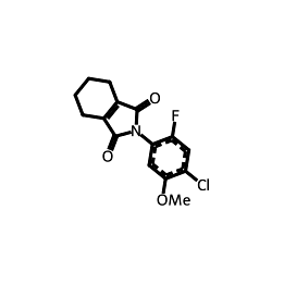 COc1cc(N2C(=O)C3=C(CCCC3)C2=O)c(F)cc1Cl